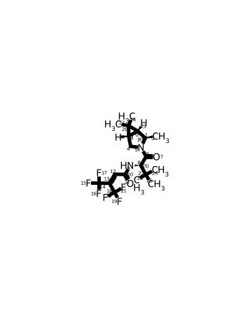 C[C@@H]1[C@@H]2[C@H](CN1C(=O)[C@@H](NC(=O)C=C(C(F)(F)F)C(F)(F)F)C(C)(C)C)C2(C)C